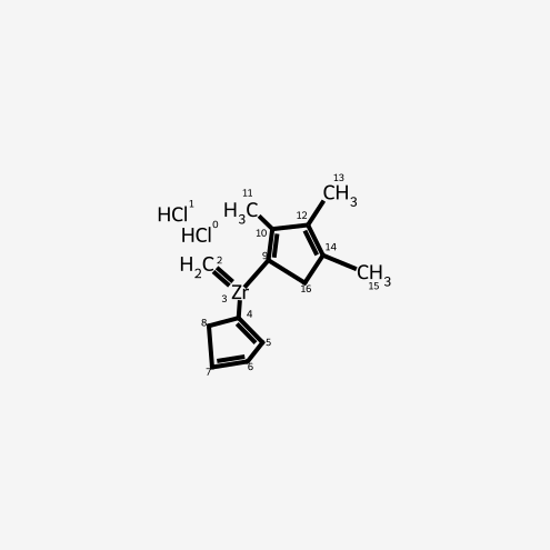 Cl.Cl.[CH2]=[Zr]([C]1=CC=CC1)[C]1=C(C)C(C)=C(C)C1